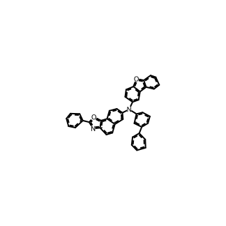 c1ccc(-c2cccc(N(c3ccc4c(ccc5nc(-c6ccccc6)oc54)c3)c3ccc4oc5ccccc5c4c3)c2)cc1